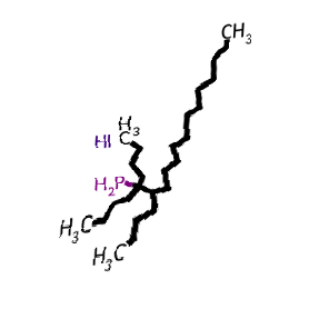 CCCCCCCCCCCCC(CCCC)C(P)(CCCC)CCCC.I